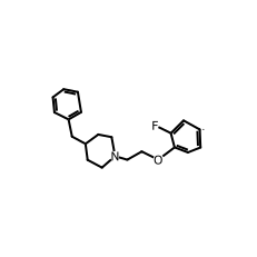 Fc1c[c]ccc1OCCN1CCC(Cc2ccccc2)CC1